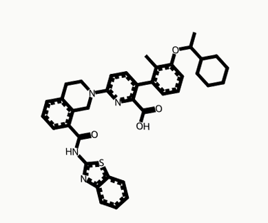 Cc1c(OC(C)C2CCCCC2)cccc1-c1ccc(N2CCc3cccc(C(=O)Nc4nc5ccccc5s4)c3C2)nc1C(=O)O